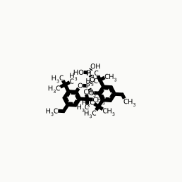 CCc1cc(C(C)(C)C)c(OP(Oc2c(C(C)(C)C)cc(CC)cc2C(C)(C)C)OP(O)O)c(C(C)(C)C)c1